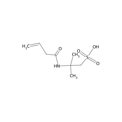 C=CCC(=O)NC(C)(C)CS(=O)(=O)O